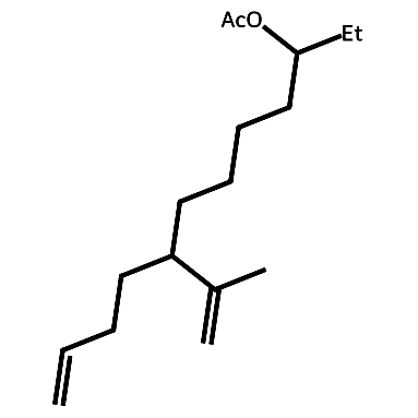 C=CCCC(CCCCC(CC)OC(C)=O)C(=C)C